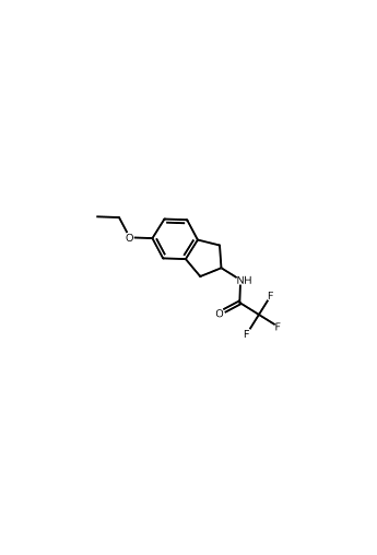 CCOc1ccc2c(c1)CC(NC(=O)C(F)(F)F)C2